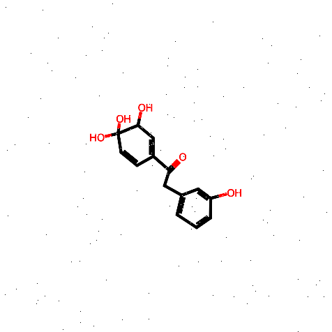 O=C(Cc1cccc(O)c1)C1=CC(O)C(O)(O)C=C1